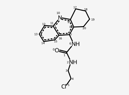 O=C(NCCCl)Nc1c2c(nc3ccccc13)CCCC2